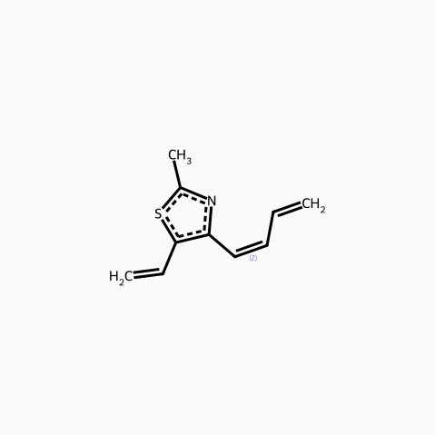 C=C/C=C\c1nc(C)sc1C=C